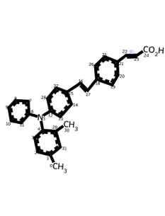 Cc1ccc(N(c2ccccc2)c2ccc(C=Cc3ccc(/C=C/C(=O)O)cc3)cc2)c(C)c1